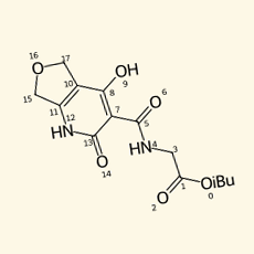 CC(C)COC(=O)CNC(=O)c1c(O)c2c([nH]c1=O)COC2